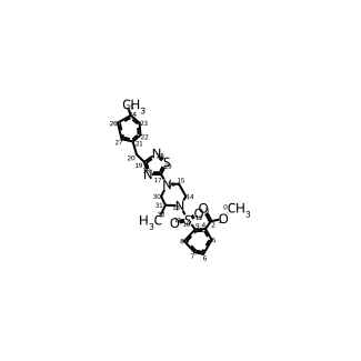 COC(=O)c1ccccc1S(=O)(=O)N1CCN(c2nc(Cc3ccc(C)cc3)ns2)CC1C